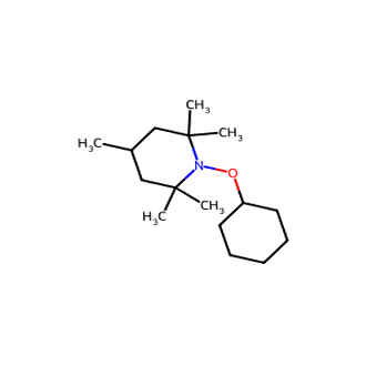 CC1CC(C)(C)N(OC2CCCCC2)C(C)(C)C1